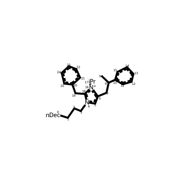 CCCCCCCCCCCCCn1cc(CC(C)c2ccccc2)[n+](C(C)C)c1Cc1ccccc1